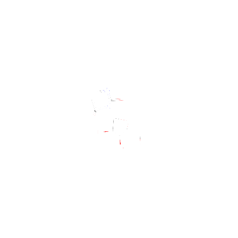 O=c1cc[nH]c(=O)n1[C@@H]1O[C@H](CO)[C@@H](O)[C@H]1O